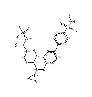 CNS(=O)(=O)c1ccc(-c2ccc(CN(C3CC3)C3CCN(C(=O)OC(C)(C)C)CC3)cn2)cc1